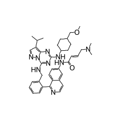 COCC1CCC(Nc2nc(NCc3ccccc3-c3nccc4cc(NC(=O)/C=C/CN(C)C)ccc34)n3ncc(C(C)C)c3n2)CC1